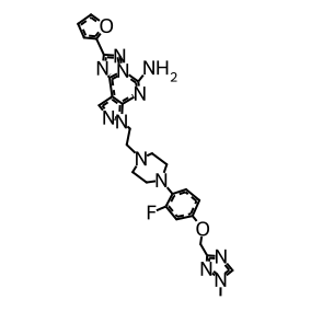 Cn1cnc(COc2ccc(N3CCN(CCn4ncc5c4nc(N)n4nc(-c6ccco6)nc54)CC3)c(F)c2)n1